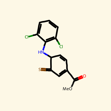 COC(=O)C1=CC(=S)C(Nc2c(Cl)cccc2Cl)C=C1